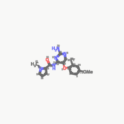 COc1ccc(Oc2cnc(N)nc2NC(=O)c2cccn2C)c(C(C)C)c1